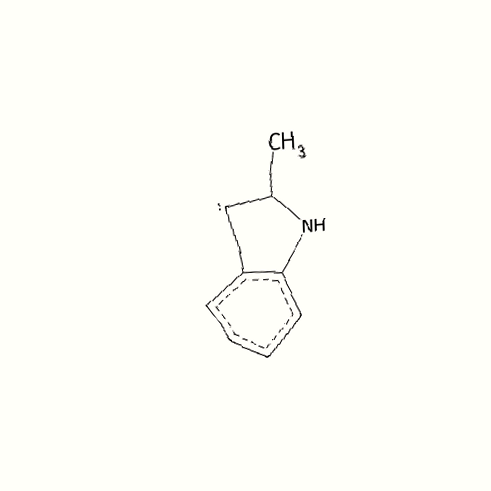 CC1[C]c2ccccc2N1